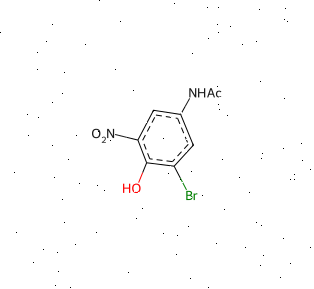 CC(=O)Nc1cc(Br)c(O)c([N+](=O)[O-])c1